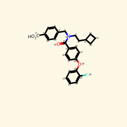 O=C(O)c1ccc(CN(CCC2CCC2)C(=O)c2ccc(Oc3ccccc3F)cc2)cc1